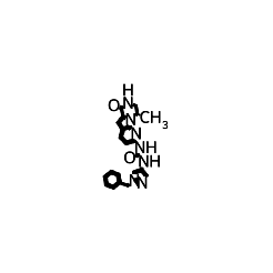 C[C@@H]1CNC(=O)c2cc3ccc(NC(=O)Nc4cnn(Cc5ccccc5)c4)nc3n21